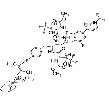 C=N/C(=C\C(C)=C(/C)C#Cc1ccc(C[C@H](NC(=O)[C@@H](NC(=O)OC)C(C)(C)C(F)(F)F)[C@@H](O)CN(Cc2c(F)cc(C(=N)/C=C\NC(F)F)cc2F)NC(=O)[C@@H](NC(=O)OC)C(C)(C)C(F)(F)F)cc1)N1CC2CCC(C1)N2C1COC1